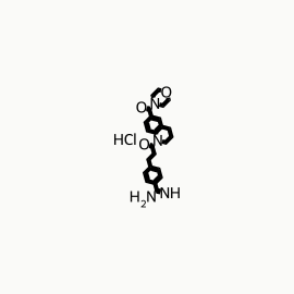 Cl.N=C(N)c1ccc(CCC(=O)N2CCCc3cc(C(=O)N4CCOCC4)ccc32)cc1